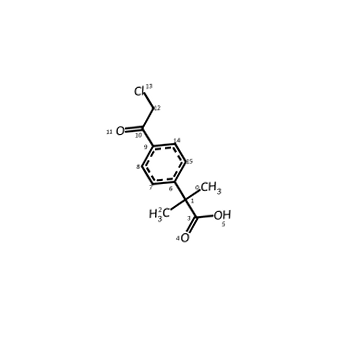 CC(C)(C(=O)O)c1ccc(C(=O)CCl)cc1